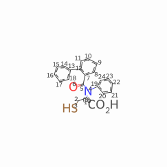 O=C(O)[C@@H](CS)N(C(=O)c1ccccc1-c1ccccc1)c1ccccc1